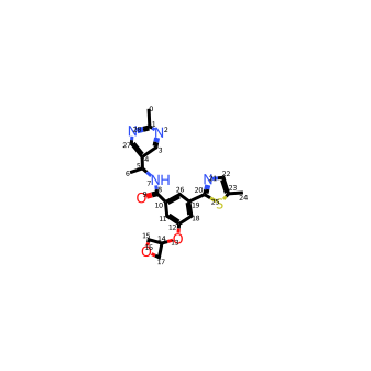 Cc1ncc(C(C)NC(=O)c2cc(OC3COC3)cc(-c3ncc(C)s3)c2)cn1